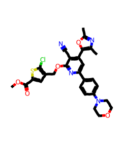 COC(=O)c1cc(COc2nc(-c3ccc(N4CCOCC4)cc3)cc(-c3oc(C)nc3C)c2C#N)c(Cl)s1